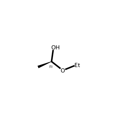 CCO[C@@H](C)O